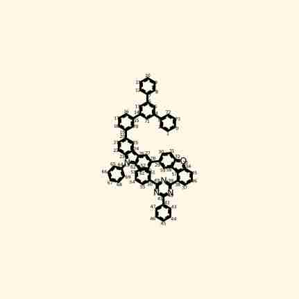 c1ccc(-c2cc(-c3ccccc3)cc(-c3cccc(-c4ccc5c(c4)c4cc(-c6ccc7oc8cccc(-c9nc(-c%10ccccc%10)nc(-c%10ccccc%10)n9)c8c7c6)ccc4n5-c4ccccc4)c3)c2)cc1